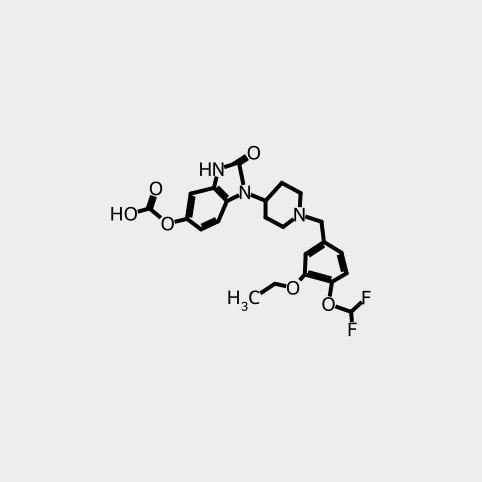 CCOc1cc(CN2CCC(n3c(=O)[nH]c4cc(OC(=O)O)ccc43)CC2)ccc1OC(F)F